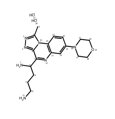 Cc1nnc2c(C(N)CCCN)nc3cc(N4CCOCC4)ccc3n12.Cl.Cl